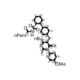 CCCCCC(=O)NS(=O)(=O)c1ccccc1-c1ccc(Cc2c(CCCC)nc(C)n(-c3ncc(OC)cn3)c2=O)cc1